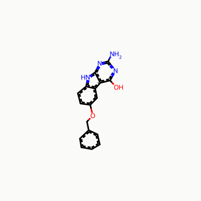 Nc1nc(O)c2c(n1)[nH]c1ccc(OCc3ccccc3)cc12